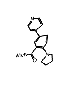 CNC(=O)c1cc(-c2ccncc2)ccc1N1CCCC1